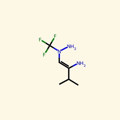 CC(C)/C(N)=C/N(N)C(F)(F)F